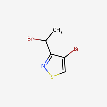 CC(Br)c1nscc1Br